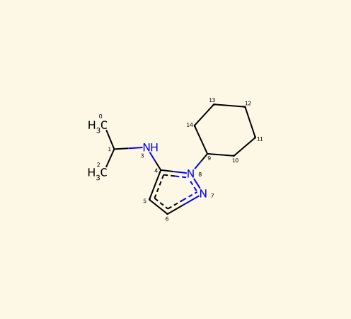 CC(C)Nc1ccnn1C1CCCCC1